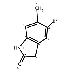 Cc1cc2c(cc1Br)CC(=O)N2